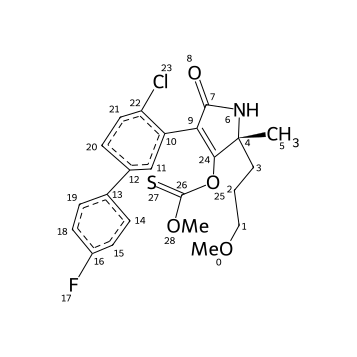 COCCC[C@@]1(C)NC(=O)C(c2cc(-c3ccc(F)cc3)ccc2Cl)=C1OC(=S)OC